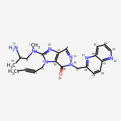 CC#CCn1c(N(C)CC(C)N)nc2cnn(Cc3ccc4ncccc4n3)c(=O)c21